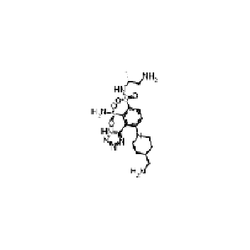 C[C@H](CN)NS(=O)(=O)c1ccc(N2CCC(CN)CC2)c(-c2nnn[nH]2)c1S(N)(=O)=O